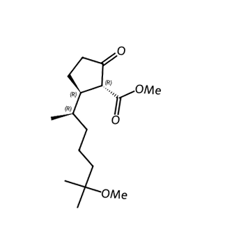 COC(=O)[C@H]1C(=O)CC[C@@H]1[C@H](C)CCCC(C)(C)OC